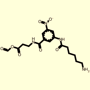 NCCCCCC(=O)Nc1cc(C(=O)NCCC(=O)OC=O)cc([N+](=O)[O-])c1